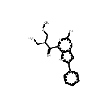 CC[C@@H](COC)C(=N)c1nc(C)nc2cc(-c3ccccc3)[nH]c12